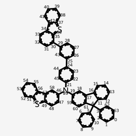 c1ccc(C2(c3ccccc3)c3ccccc3-c3cc(N(c4ccc(-c5cccc(-c6cccc7c6sc6ccccc67)c5)cc4)c4ccc5sc6ccccc6c5c4)ccc32)cc1